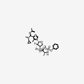 C=C(C)/N=C(\c1ncn([C@@H]2O[C@H](COP(=O)(N[C@@H](C)C(=O)OC(C)C)Oc3ccccc3)[C@@H](O)[C@@]2(C)F)c1C)N(C)C1CC1